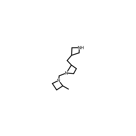 CC1CCN1CN1CCC1CC1CNC1